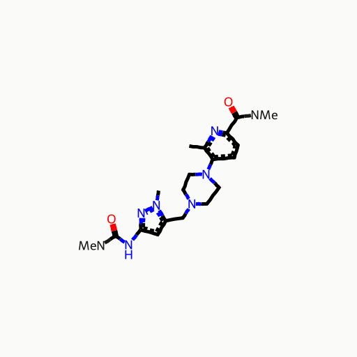 CNC(=O)Nc1cc(CN2CCN(c3ccc(C(=O)NC)nc3C)CC2)n(C)n1